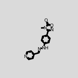 Cn1c(-c2ccc(NN=Cc3ccncc3)cc2)noc1=O